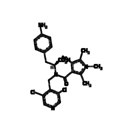 CC(=O)c1c(C(=O)N(Cc2c(Cl)cncc2Cl)[C@@H](Cc2ccc(N)cc2)C(=O)O)c(C)n(C)c1C